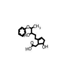 CC(Oc1ccccc1)C(O)CCC1=CCC(O)C1CC(=O)O